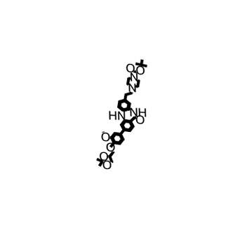 COc1cc(-c2ccc3c(c2)Nc2ccc(CCN4CCN(C(=O)OC(C)(C)C)CC4)cc2NC3=O)ccc1OCC1COC(C)(C)O1